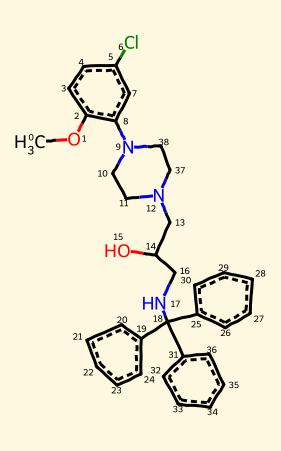 COc1ccc(Cl)cc1N1CCN(CC(O)CNC(c2ccccc2)(c2ccccc2)c2ccccc2)CC1